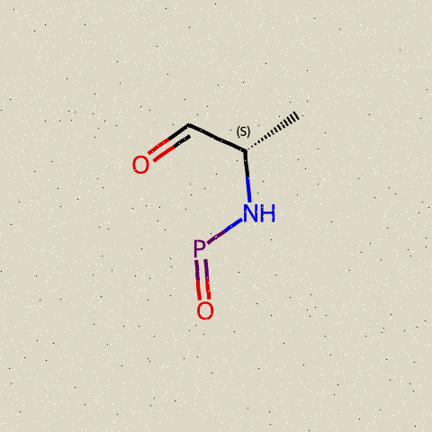 C[C@@H](C=O)NP=O